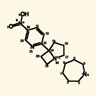 C1CCC[N]CC1.O=[N+](O)c1ccc(C23CCC[N+]2CC3)nc1